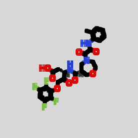 Cc1ccccc1NC(=O)C(=O)N1CCOC[C@H](C(=O)N[C@@H](CC(=O)O)C(=O)COc2c(F)c(F)cc(F)c2F)C1